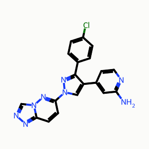 Nc1cc(-c2cn(-c3ccc4nncn4n3)nc2-c2ccc(Cl)cc2)ccn1